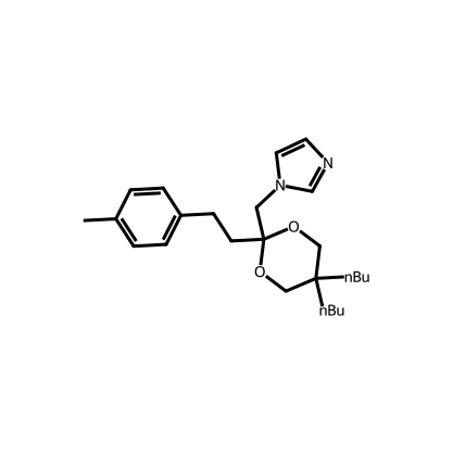 CCCCC1(CCCC)COC(CCc2ccc(C)cc2)(Cn2ccnc2)OC1